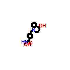 O=C(NO)c1ccc(CN2CCCC(O)c3ccccc32)cc1